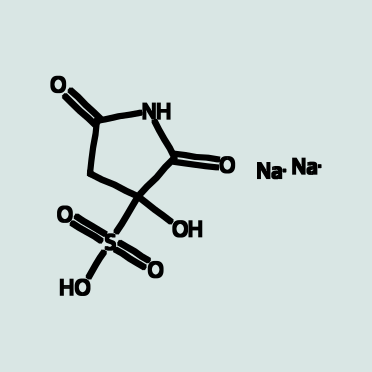 O=C1CC(O)(S(=O)(=O)O)C(=O)N1.[Na].[Na]